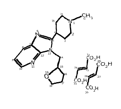 CN1CCC(c2nc3cccnc3n2CC2CCCO2)CC1.O=C(O)/C=C/C(=O)O.O=C(O)/C=C/C(=O)O